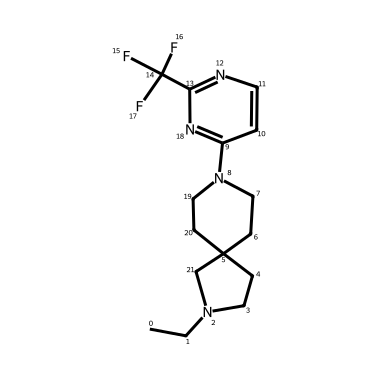 CCN1CCC2(CCN(c3ccnc(C(F)(F)F)n3)CC2)C1